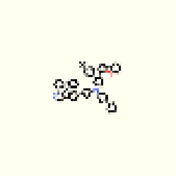 CC(C)(C)c1ccc(-c2cc(N(c3ccc(-c4ccccc4)cc3)c3ccc(-c4ccc5c(c4)C4(c6ccccc6-c6ccccc64)c4cnccc4-5)cc3)ccc2-c2cccc3c2oc2ccccc23)cc1